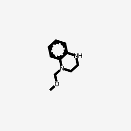 COCN1CCNc2ccccc21